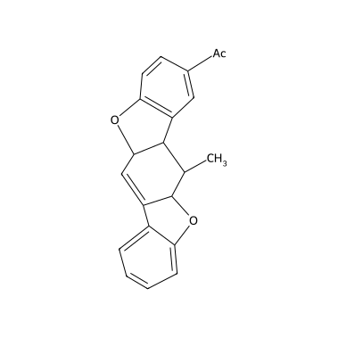 CC(=O)c1ccc2c(c1)C1C(C=C3c4ccccc4OC3C1C)O2